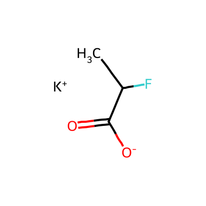 CC(F)C(=O)[O-].[K+]